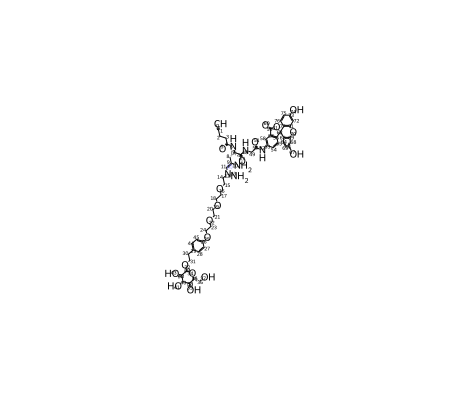 C#CCCC(=O)N[C@@H](C/C(N)=C/N(N)CCOCCOCCOCCOc1ccc(CCO[C@@H]2O[C@H](CO)[C@@H](O)C(O)[C@H]2O)cc1)C(=O)NCC(=O)Nc1ccc2c(c1)C(=O)OC21c2ccc(O)cc2Oc2cc(O)ccc21